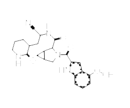 COc1cccc2[nH]c(C(=O)N3CC4CC4C3C(=O)NC(C#N)CC3CCCNC3=O)cc12